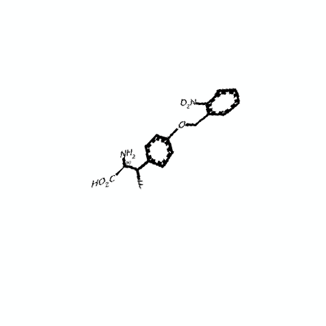 N[C@H](C(=O)O)C(F)c1ccc(OCc2ccccc2[N+](=O)[O-])cc1